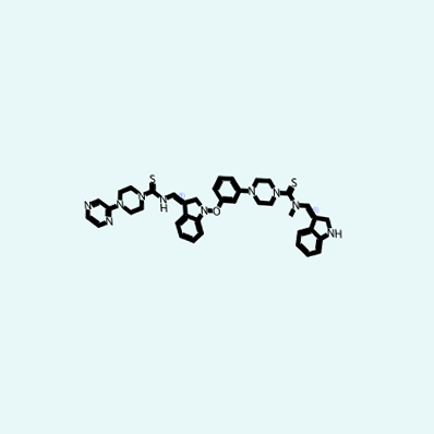 CN(/C=C1/CNc2ccccc21)C(=S)N1CCN(c2cccc(ON3C/C(=C/NC(=S)N4CCN(c5cnccn5)CC4)c4ccccc43)c2)CC1